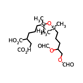 C[Si](C)(CCCC(COC=O)OC=O)O[Si](C)(C)CCCC(CC(=O)O)C(=O)O